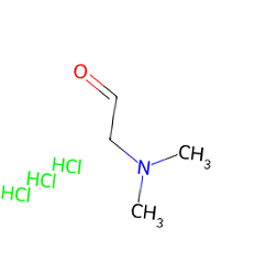 CN(C)CC=O.Cl.Cl.Cl